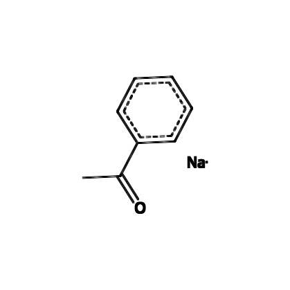 CC(=O)c1ccccc1.[Na]